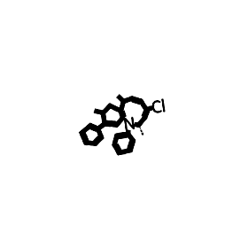 CC1/C=C\C(Cl)=C/[C@H](C)N(c2ccccc2)C2=C1CC(C)C(c1ccccc1)=C2